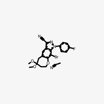 CC#N.COC1(OC)CCOc2c(cc3c(C#N)nn(-c4ccc(F)cc4)c3c2Br)C1